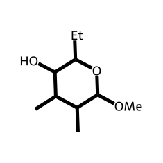 CCC1OC(OC)C(C)C(C)C1O